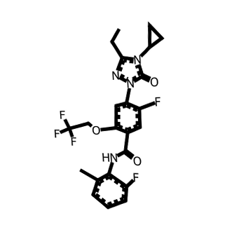 CCc1nn(-c2cc(OCC(F)(F)F)c(C(=O)Nc3c(C)cccc3F)cc2F)c(=O)n1C1CC1